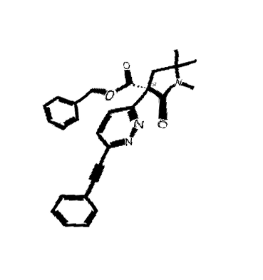 CN1C(=O)[C@@](C(=O)OCc2ccccc2)(c2ccc(C#Cc3ccccc3)nn2)CC1(C)C